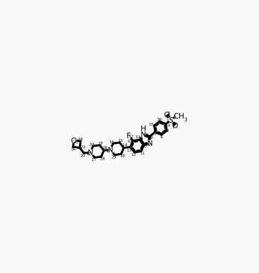 CS(=O)(=O)c1ccc(-c2nc3ccc(C4CCN(C5CCN(CC6COC6)CC5)CC4)c(F)c3[nH]2)cc1